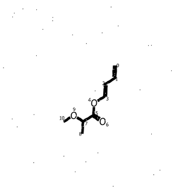 C=CC=COC(=O)C(C)OC